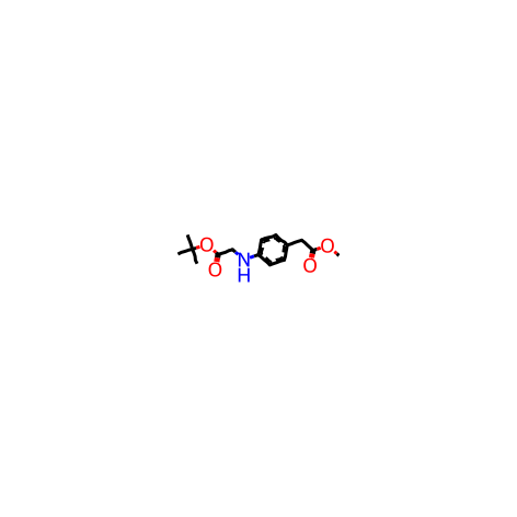 COC(=O)Cc1ccc(NCC(=O)OC(C)(C)C)cc1